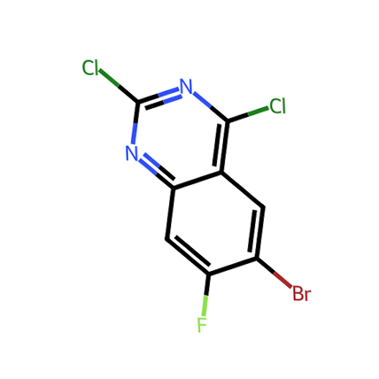 Fc1cc2nc(Cl)nc(Cl)c2cc1Br